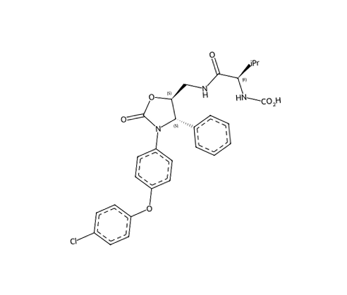 CC(C)[C@@H](NC(=O)O)C(=O)NC[C@@H]1OC(=O)N(c2ccc(Oc3ccc(Cl)cc3)cc2)[C@H]1c1ccccc1